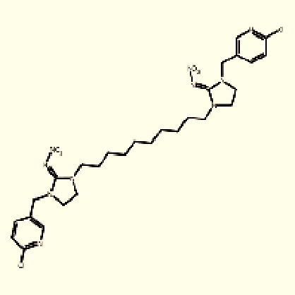 O=[N+]([O-])N=C1N(CCCCCCCCCCN2CCN(Cc3ccc(Cl)nc3)C2=N[N+](=O)[O-])CCN1Cc1ccc(Cl)nc1